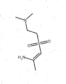 CC(N)=CS(=O)(=O)CCN(C)C